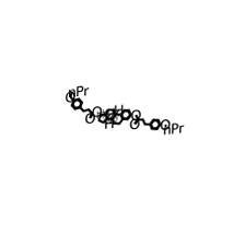 CCCOc1ccc(CCC(=O)Oc2ccc3c(c2)CC[C@@H]2[C@@H]3CC[C@]3(C)[C@@H](OC(=O)CCc4ccc(OCCC)cc4)CC[C@@H]23)cc1